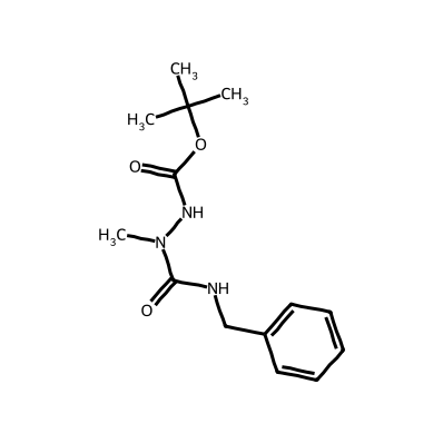 CN(NC(=O)OC(C)(C)C)C(=O)NCc1ccccc1